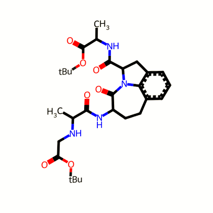 CC(NCC(=O)OC(C)(C)C)C(=O)NC1CCc2cccc3c2N(C1=O)C(C(=O)NC(C)C(=O)OC(C)(C)C)C3